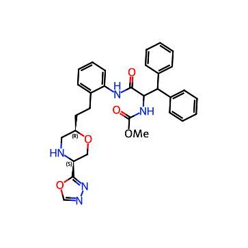 COC(=O)NC(C(=O)Nc1ccccc1CC[C@@H]1CN[C@H](c2nnco2)CO1)C(c1ccccc1)c1ccccc1